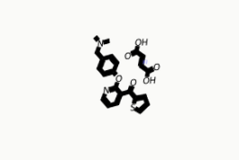 CN(C)Cc1ccc(Oc2ncccc2C(=O)c2cccs2)cc1.O=C(O)/C=C/C(=O)O